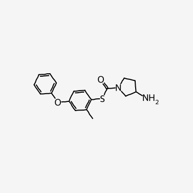 Cc1cc(Oc2ccccc2)ccc1SC(=O)N1CCC(N)C1